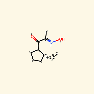 CC(=NO)C(=O)C1CCCC1.CC(=O)O